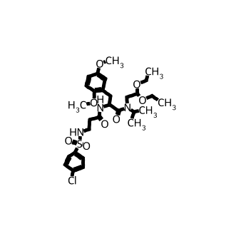 CCOC(CN(C(=O)C(Cc1cc(OC)ccc1OC)NC(=O)CCNS(=O)(=O)c1ccc(Cl)cc1)C(C)C)OCC